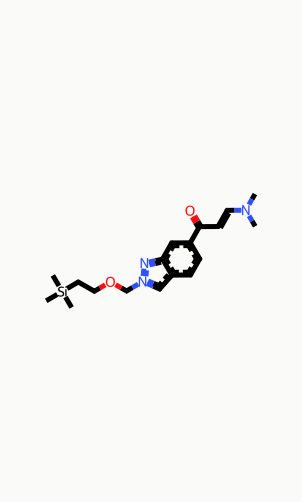 CN(C)C=CC(=O)c1ccc2cn(COCC[Si](C)(C)C)nc2c1